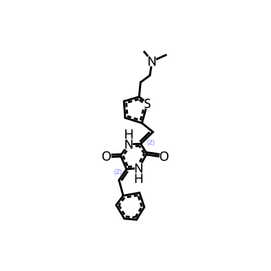 CN(C)CCc1ccc(/C=c2\[nH]c(=O)/c(=C/c3ccccc3)[nH]c2=O)s1